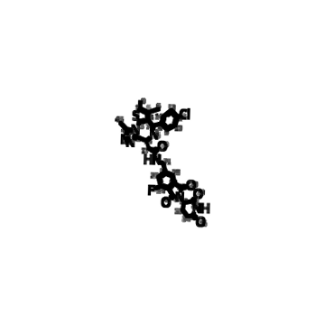 Cc1sc2c(c1C)C(c1ccc(Cl)cc1)=N[C@@H](CC(=O)NCc1cc(F)c3c(c1)C(=O)N(C1CCC(=O)NC1=O)C3=O)c1nnc(C)n1-2